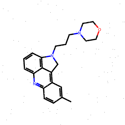 Cc1ccc2nc3cccc4c3c(c2c1)CN4CCCN1CCOCC1